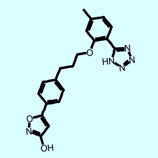 Cc1ccc(-c2nnn[nH]2)c(OCCCc2ccc(-c3cc(O)no3)cc2)c1